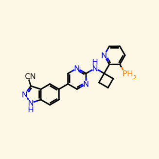 N#Cc1n[nH]c2ccc(-c3cnc(NC4(c5ncccc5P)CCC4)nc3)cc12